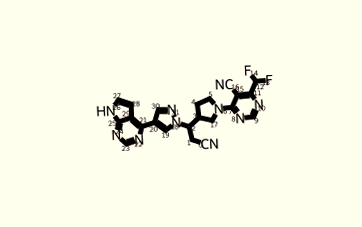 N#CCC(C1CCN(c2ncnc(C(F)F)c2C#N)C1)n1cc(-c2ncnc3[nH]ccc23)cn1